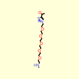 CNCCOCCOCCOCCOCCOCCn1cc(C(C)=O)nn1